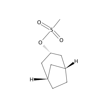 CS(=O)(=O)O[C@@H]1C[C@@H]2CC[C@@H](C2)C1